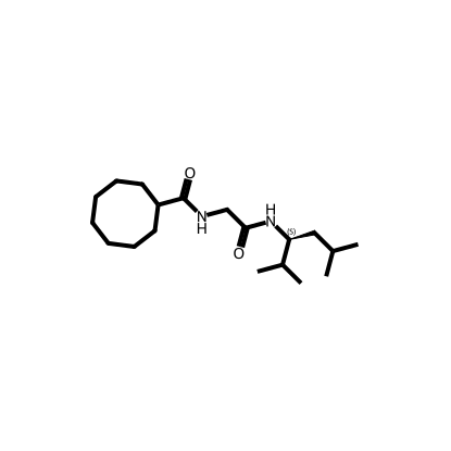 CC(C)C[C@H](NC(=O)CNC(=O)C1CCCCCCC1)C(C)C